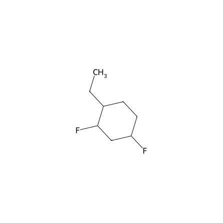 CCC1CCC(F)CC1F